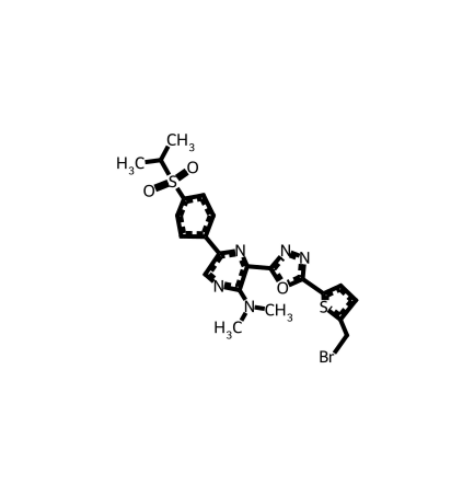 CC(C)S(=O)(=O)c1ccc(-c2cnc(N(C)C)c(-c3nnc(-c4ccc(CBr)s4)o3)n2)cc1